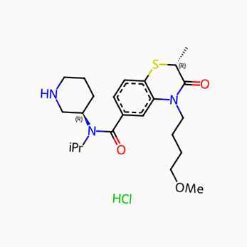 COCCCCN1C(=O)[C@@H](C)Sc2ccc(C(=O)N(C(C)C)[C@@H]3CCCNC3)cc21.Cl